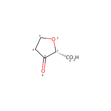 O=C(O)[C@H]1OCCC1=O